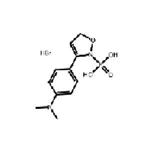 Br.CN(C)c1ccc(C2=CCON2P(=O)(O)O)cc1